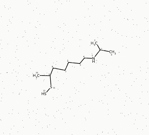 CC(C)NCCCCCC(C)SS